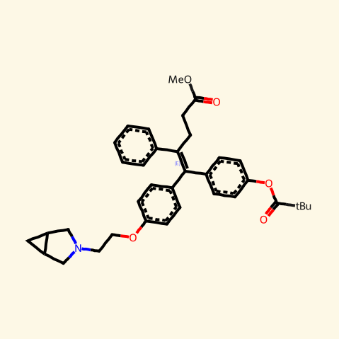 COC(=O)CC/C(=C(/c1ccc(OCCN2CC3CC3C2)cc1)c1ccc(OC(=O)C(C)(C)C)cc1)c1ccccc1